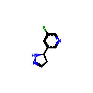 Fc1cncc(C2CC=NN2)c1